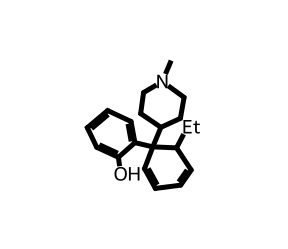 CCC1C=CC=CC1(c1ccccc1O)C1CCN(C)CC1